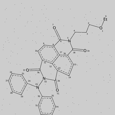 CCOCCCN1C(=O)c2ccc3c4c(ccc(c24)C1=O)C(=O)N(N(c1ccccc1)c1ccccc1)C3=O